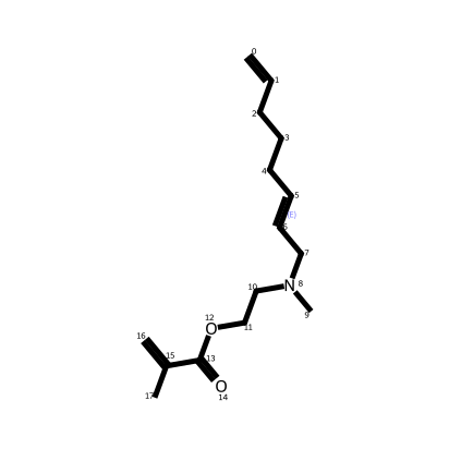 C=CCCC/C=C/CN(C)CCOC(=O)C(=C)C